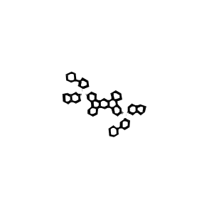 c1cc(C2CCCCC2)cc(N(c2ccc3ccccc3c2)c2ccc3c(c2)c2ccccc2c2cc4c5ccc(N(c6cccc(C7CCCCC7)c6)c6ccc7ccccc7c6)cc5c5ccccc5c4cc32)c1